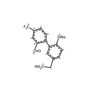 COc1ccc(CC(=O)O)cc1-c1ccc(C(F)(F)F)cc1C=O